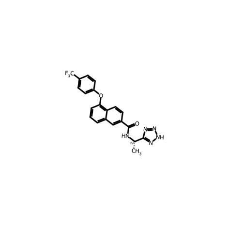 C[C@H](NC(=O)c1ccc2c(Oc3ccc(C(F)(F)F)cc3)cccc2c1)c1nn[nH]n1